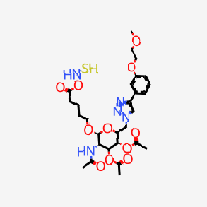 COCCOc1cccc(-c2cn(CC3O[C@@H](OCCCCC(=O)ONS)[C@@H](NC(C)=O)C(OC(C)=O)[C@H]3OC(C)=O)nn2)c1